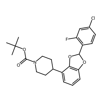 CC(C)(C)OC(=O)N1CCC(c2cccc3c2OC(c2ccc(Cl)cc2F)O3)CC1